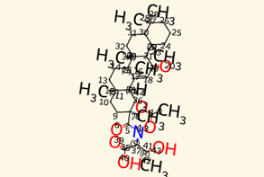 CC(=O)ON(C(=O)C1(C)CC[C@]2(C)CC[C@]3(C)C(=CC(=O)C4[C@@]5(C)CCCC(C)(C)C5CC[C@]43C)[C@@H]2C1)[C@H](C(=O)O)[C@@H](C)O